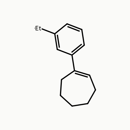 C[CH]c1cccc(C2=CCCCCC2)c1